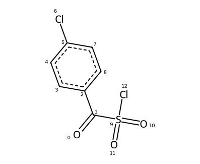 O=C(c1ccc(Cl)cc1)S(=O)(=O)Cl